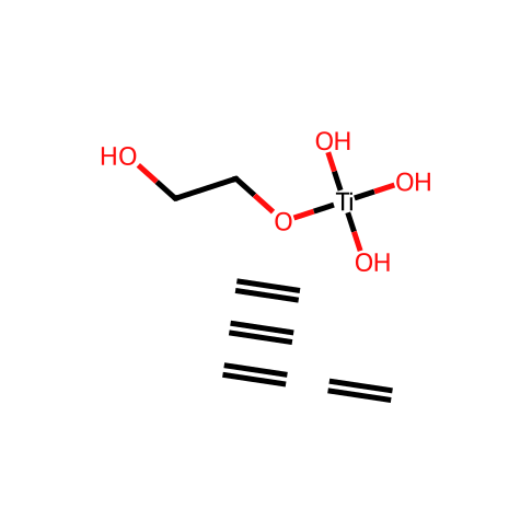 C=C.C=C.C=C.C=C.OCC[O][Ti]([OH])([OH])[OH]